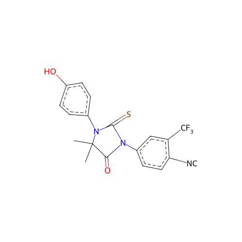 [C-]#[N+]c1ccc(N2C(=O)C(C)(C)N(c3ccc(O)cc3)C2=S)cc1C(F)(F)F